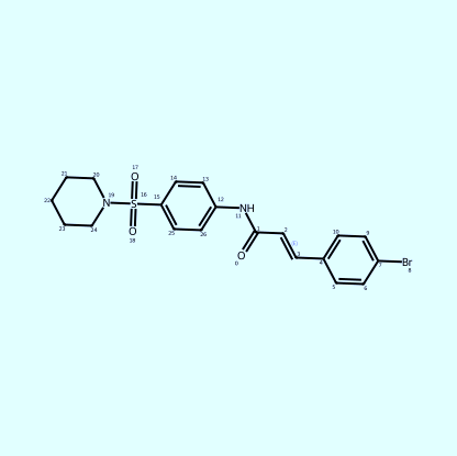 O=C(/C=C/c1ccc(Br)cc1)Nc1ccc(S(=O)(=O)N2CCCCC2)cc1